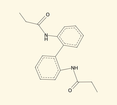 CCC(=O)Nc1ccccc1-c1ccccc1NC(=O)CC